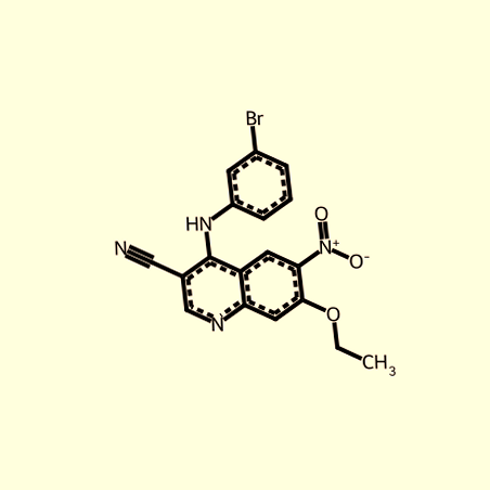 CCOc1cc2ncc(C#N)c(Nc3cccc(Br)c3)c2cc1[N+](=O)[O-]